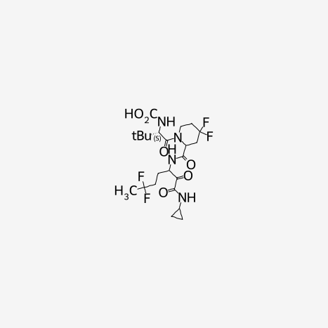 CC(F)(F)CCC(NC(=O)C1CC(F)(F)CCN1C(=O)[C@@H](NC(=O)O)C(C)(C)C)C(=O)C(=O)NC1CC1